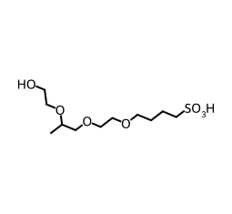 CC(COCCOCCCCS(=O)(=O)O)OCCO